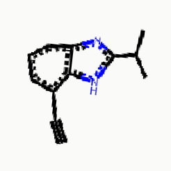 C#Cc1cccc2nc(C(C)C)[nH]c12